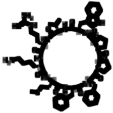 CSCC[C@@H]1NC(=O)[C@H](CCCCN)NC(=O)[C@H](CCCNC(=N)N)NC(=O)[C@H](C(C)C)NC(=O)[C@@H](Cc2c[nH]c3ccccc23)NC(=O)[C@@H]2CCCN2C(=O)[C@@H]2CCCN2C(=O)[C@H](Cc2ccccc2)NC(=O)[C@@H](Cc2ccccc2)NC1=O